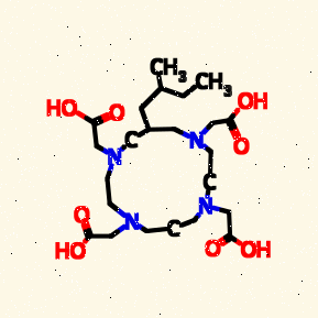 CCC(C)CC1CN(CC(=O)O)CCN(CC(=O)O)CCCN(CC(=O)O)CCN(CC(=O)O)C1